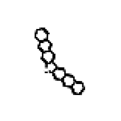 C1=Cc2cc3cc4c(cc3cc2CC1)oc1cc2cc3ccccc3cc2cc14